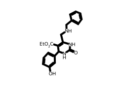 CCOC(=O)C1=C(CNCc2ccccc2)NC(=O)NC1c1cccc(O)c1